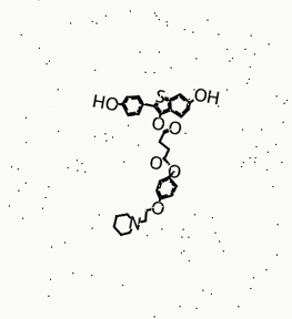 O=C(CCC(=O)Oc1c(-c2ccc(O)cc2)sc2cc(O)ccc12)Oc1ccc(OCCN2CCCCC2)cc1